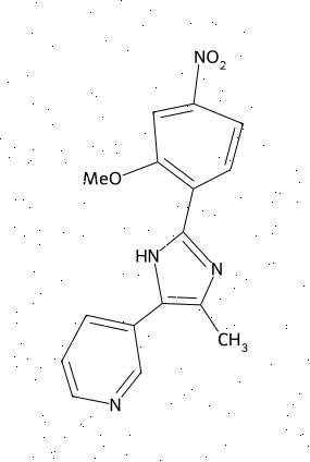 COc1cc([N+](=O)[O-])ccc1-c1nc(C)c(-c2cccnc2)[nH]1